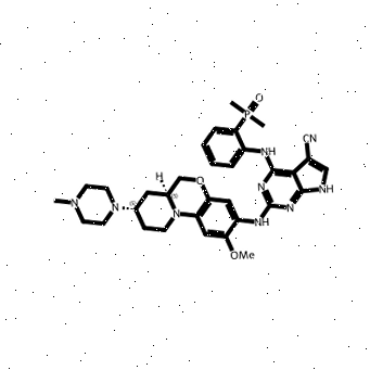 COc1cc2c(cc1Nc1nc(Nc3ccccc3P(C)(C)=O)c3c(C#N)c[nH]c3n1)OC[C@@H]1C[C@@H](N3CCN(C)CC3)CCN21